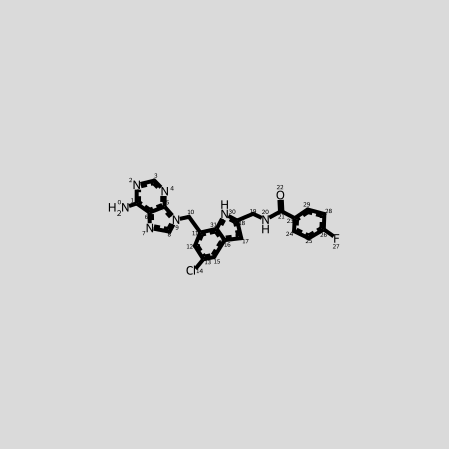 Nc1ncnc2c1ncn2Cc1cc(Cl)cc2cc(CNC(=O)c3ccc(F)cc3)[nH]c12